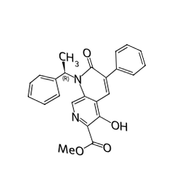 COC(=O)c1ncc2c(cc(-c3ccccc3)c(=O)n2[C@H](C)c2ccccc2)c1O